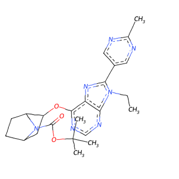 CCn1c(-c2cnc(C)nc2)nc2c(OC3CC4CCC3N4C(=O)OC(C)(C)C)ncnc21